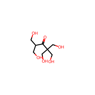 O=C(C(CO)CO)C(CO)(CO)CO